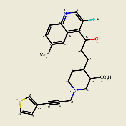 COc1ccc2ncc(F)c(C(O)CCC3CCN(CC#Cc4ccsc4)CC3C(=O)O)c2c1